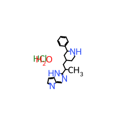 CC(CC1CCNC(c2ccccc2)C1)c1ncc2nccc-2[nH]1.Cl.O